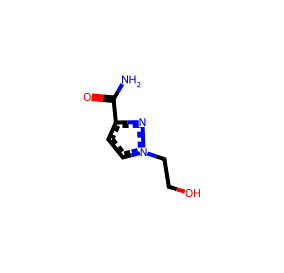 NC(=O)c1ccn(CCO)n1